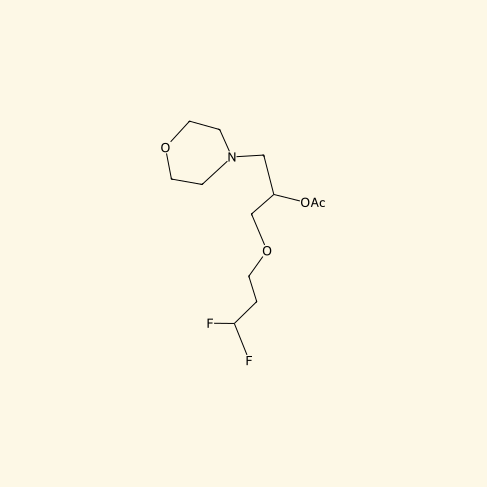 CC(=O)OC(COCCC(F)F)CN1CCOCC1